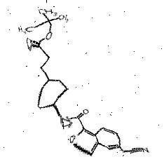 CC(C)(C)OC(=O)CCC1CCC(NC(=O)c2occ3cc(C#N)ccc23)CC1